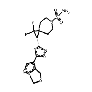 NS(=O)(=O)N1CCC2(CC1)[C@H](c1noc(-c3cnn4c3CSC4)n1)C2(F)F